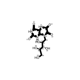 O=c1[nH]c(=O)c2[nH]c(=O)c(=O)n(C[C@H](O)[C@H](O)[C@H](O)CO)c2[nH]1